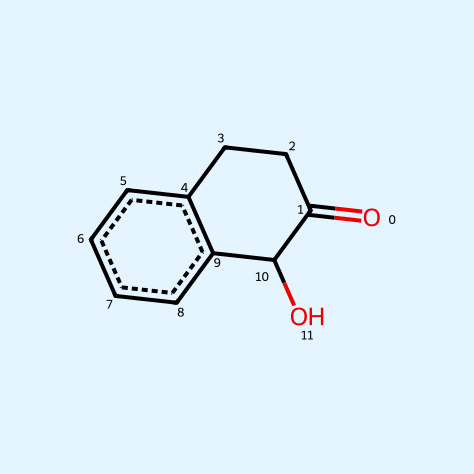 O=C1CCc2ccccc2C1O